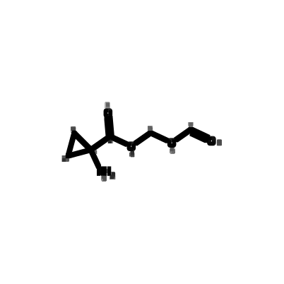 NC1(C(=O)OCOC=O)CC1